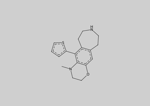 CN1CCOc2cc3c(c(-c4cccs4)c21)CCNCC3